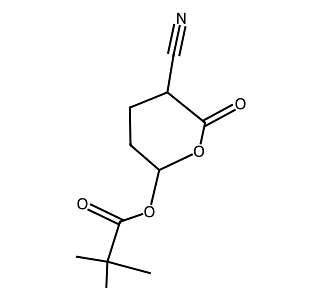 CC(C)(C)C(=O)OC1CCC(C#N)C(=O)O1